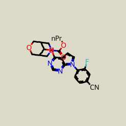 CCCOC(=O)N1CC2COCC(C1)C2Oc1ncnc2c1ccn2-c1ccc(C#N)cc1F